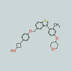 Cc1cc(OC2CCOCC2)ccc1-c1csc2ccc(COc3ccc(C4CC(O)C4)cc3)cc12